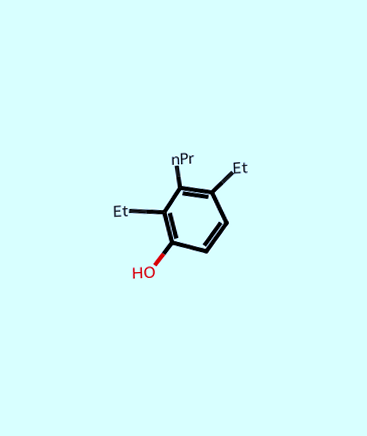 CCCc1c(CC)ccc(O)c1CC